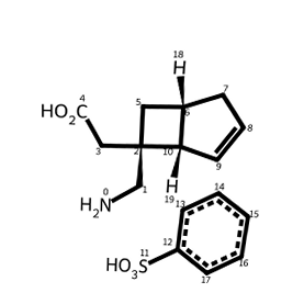 NC[C@@]1(CC(=O)O)C[C@@H]2CC=C[C@@H]21.O=S(=O)(O)c1ccccc1